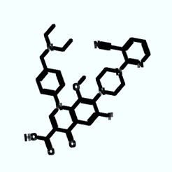 CCN(CC)Cc1ccc(-n2cc(C(=O)O)c(=O)c3cc(F)c(N4CCN(c5ncccc5C#N)CC4)c(OC)c32)cc1